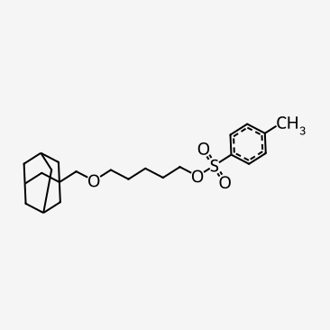 Cc1ccc(S(=O)(=O)OCCCCCOCC23CC4CC(CC(C4)C2)C3)cc1